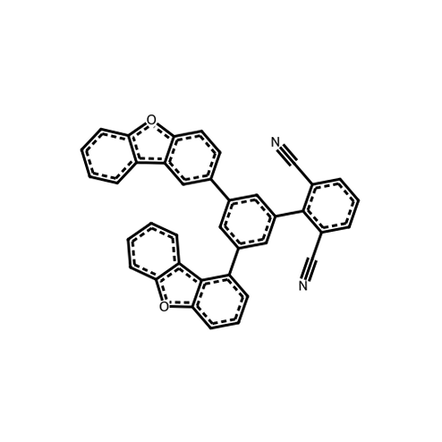 N#Cc1cccc(C#N)c1-c1cc(-c2ccc3oc4ccccc4c3c2)cc(-c2cccc3oc4ccccc4c23)c1